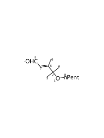 CCCCCOC(C)(C)C(C)=C[C]=O